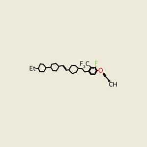 C#CC#COc1ccc(CCC2CCC(/C=C/C3CCC(C4CCC(CC)CC4)CC3)CC2)c(C(F)(F)F)c1F